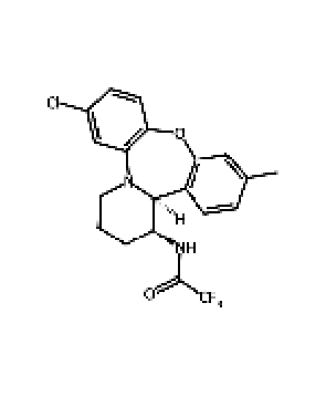 Cc1ccc2c(c1)Oc1ccc(Cl)cc1N1CCC[C@H](NC(=O)C(F)(F)F)[C@H]21